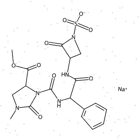 COC(=O)C1CN(C)C(=O)N1C(=O)NC(C(=O)NC1CN(S(=O)(=O)[O-])C1=O)c1ccccc1.[Na+]